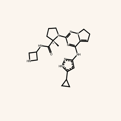 C[C@@]1(C(=O)NC2CNC2)CCCN1C1=NN2CCC=C2C(Nc2cc(C3CC3)[nH]n2)=N1